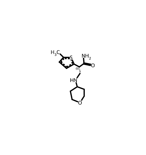 Cc1ccc([C@@H](CNC2CCOCC2)C(N)=O)s1